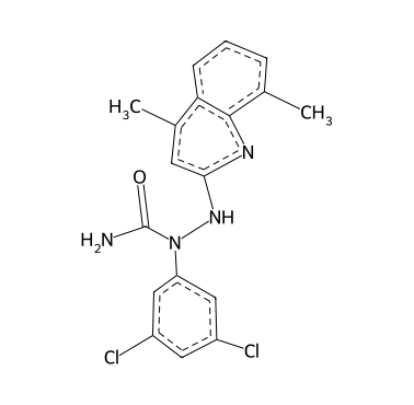 Cc1cc(NN(C(N)=O)c2cc(Cl)cc(Cl)c2)nc2c(C)cccc12